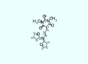 CN1C(=O)C(=C/C=C/N(C2CCCO2)C2CCCO2)C(=O)N(C)C1=O